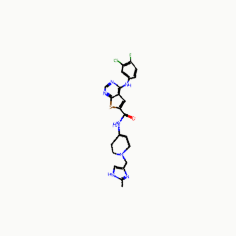 Cc1nc(CN2CCC(NC(=O)c3cc4c(Nc5ccc(F)c(Cl)c5)ncnc4s3)CC2)c[nH]1